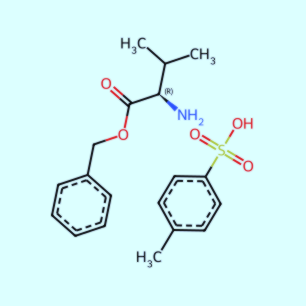 CC(C)[C@@H](N)C(=O)OCc1ccccc1.Cc1ccc(S(=O)(=O)O)cc1